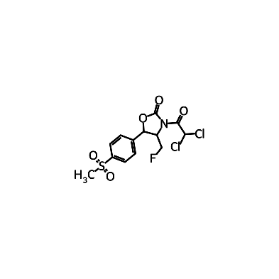 CS(=O)(=O)c1ccc(C2OC(=O)N(C(=O)C(Cl)Cl)C2CF)cc1